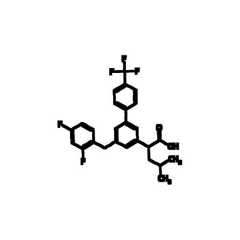 CC(C)CC(C(=O)O)c1cc(Cc2ccc(F)cc2F)cc(-c2ccc(C(F)(F)F)cc2)c1